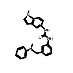 CN(Cc1cccc(NC(=O)Nc2ccc3c(ccn3C)c2)c1)c1ccccc1